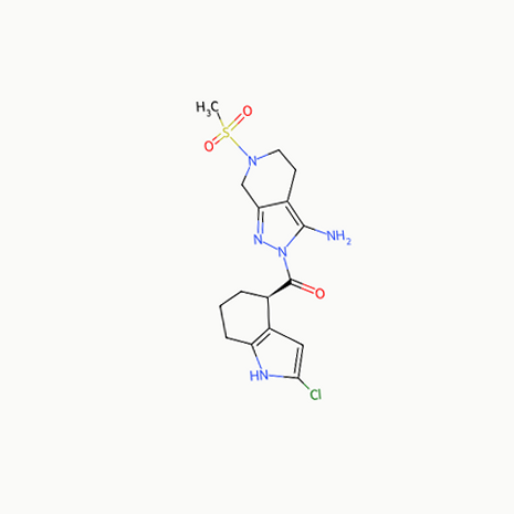 CS(=O)(=O)N1CCc2c(nn(C(=O)[C@@H]3CCCc4[nH]c(Cl)cc43)c2N)C1